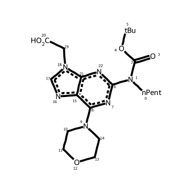 CCCCCN(C(=O)OC(C)(C)C)c1nc(N2CCOCC2)c2ncn(CC(=O)O)c2n1